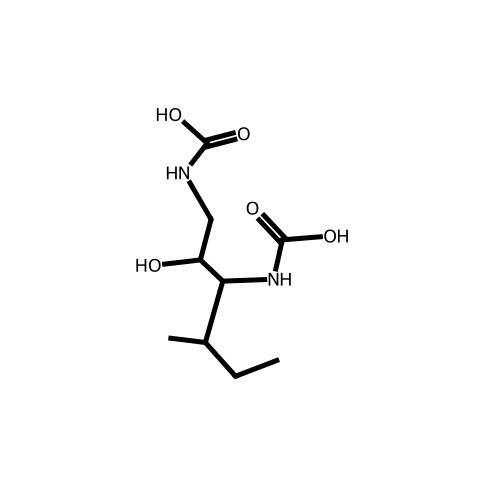 CCC(C)C(NC(=O)O)C(O)CNC(=O)O